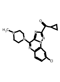 CN1CCN(c2nc3ccc(Cl)cc3n3nc(C(=O)C4CC4)nc23)CC1